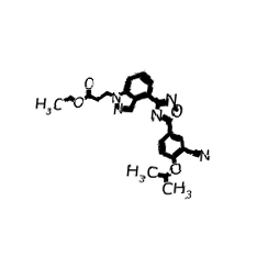 CCOC(=O)CCn1ncc2c(-c3noc(-c4ccc(OC(C)C)c(C#N)c4)n3)cccc21